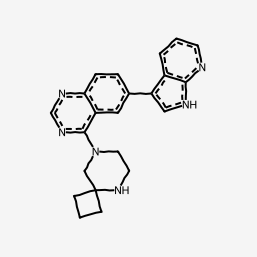 c1cnc2[nH]cc(-c3ccc4ncnc(N5CCNC6(CCC6)C5)c4c3)c2c1